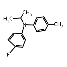 Cc1ccc(N(c2ccc(F)cc2)C(C)C)cc1